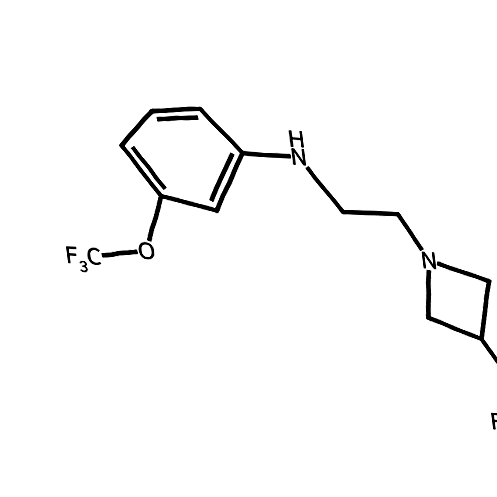 FCC1CN(CCNc2cccc(OC(F)(F)F)c2)C1